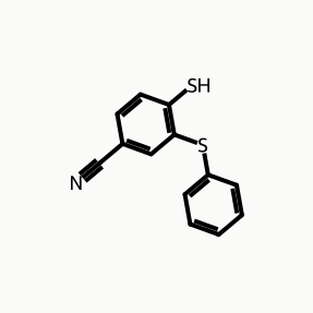 N#Cc1ccc(S)c(Sc2ccccc2)c1